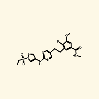 CCS(=O)(=O)n1cc(Nc2ncc(CCc3cc(C(=O)NC)cc(OC)c3F)cn2)cn1